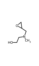 CN(CCO)CC1CO1